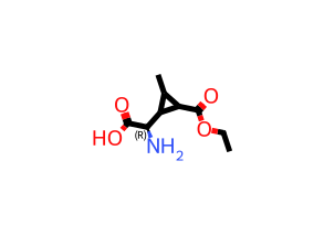 CCOC(=O)C1C(C)C1[C@@H](N)C(=O)O